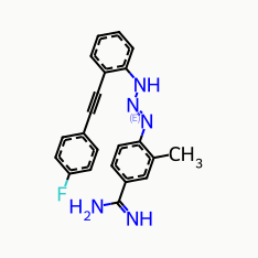 Cc1cc(C(=N)N)ccc1/N=N/Nc1ccccc1C#Cc1ccc(F)cc1